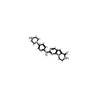 S=C1NCCn2c1cc1cnc(Nc3ccc(N4CCNCC4)cn3)nc12